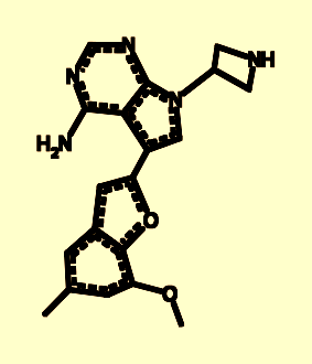 COc1cc(C)cc2cc(-c3cn(C4CNC4)c4ncnc(N)c34)oc12